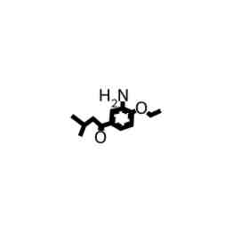 CCOc1ccc(C(=O)CC(C)C)cc1N